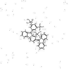 CC(C)(C)c1cc(-n2c3ccccc3c3ccc(-n4c5ccccc5c5ccccc54)c(C(C)(C)C)c32)cc(C(C)(C)C)c1